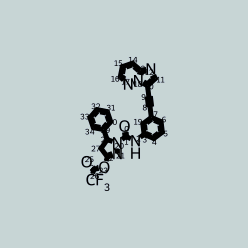 O=C(Nc1cccc(C#Cc2cnc3cccnn23)c1)N1N=C(OC(=O)C(F)(F)F)CC1c1ccccc1